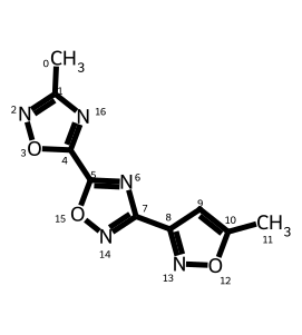 Cc1noc(-c2nc(-c3cc(C)on3)no2)n1